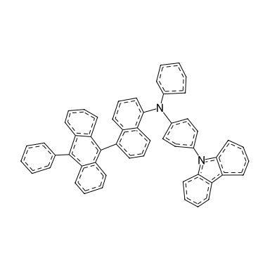 c1ccc(-c2c3ccccc3c(-c3cccc4c(N(c5ccccc5)c5ccc(-n6c7ccccc7c7ccccc76)cc5)cccc34)c3ccccc23)cc1